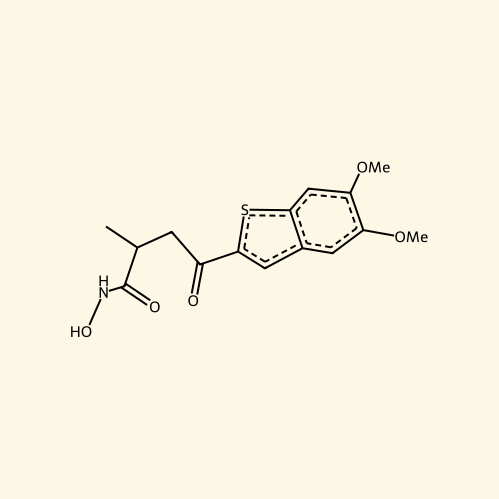 COc1cc2cc(C(=O)CC(C)C(=O)NO)sc2cc1OC